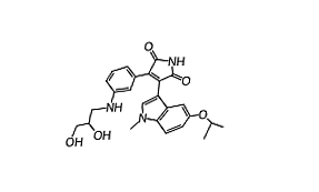 CC(C)Oc1ccc2c(c1)c(C1=C(c3cccc(NCC(O)CO)c3)C(=O)NC1=O)cn2C